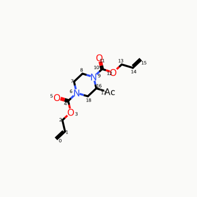 C=CCOC(=O)N1CCN(C(=O)OCC=C)C(C(C)=O)C1